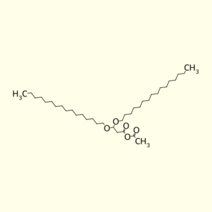 CCCCCCCCCCCCCCCCOC(CC(=O)OC(C)=O)OCCCCCCCCCCCCCCCC